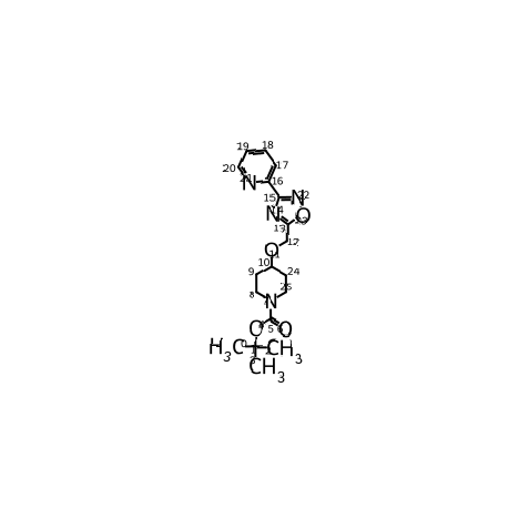 CC(C)(C)OC(=O)N1CCC(OCc2nc(-c3ccccn3)no2)CC1